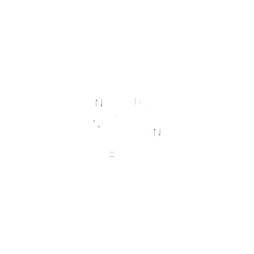 CCC(C#N)C1(C(C)(C)C)N=N1